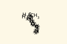 CC(C)(C)OC(=O)N1Cc2ccc(-c3ccc(CN4CCCC4)s3)cc2C1